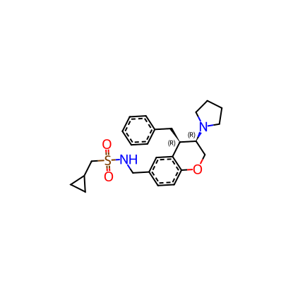 O=S(=O)(CC1CC1)NCc1ccc2c(c1)[C@@H](Cc1ccccc1)[C@@H](N1CCCC1)CO2